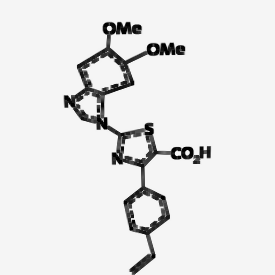 C=Cc1ccc(-c2nc(-n3cnc4cc(OC)c(OC)cc43)sc2C(=O)O)cc1